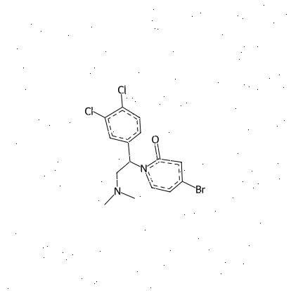 CN(C)CC(c1ccc(Cl)c(Cl)c1)n1ccc(Br)cc1=O